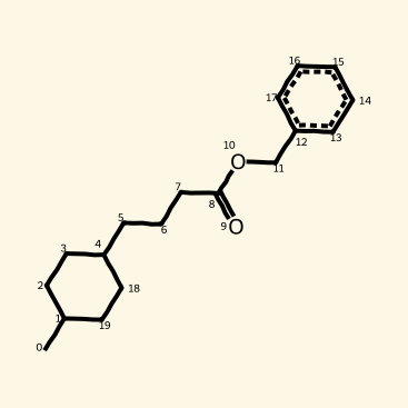 CC1CCC(CCCC(=O)OCc2ccccc2)CC1